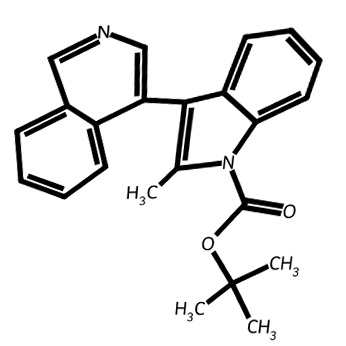 Cc1c(-c2cncc3ccccc23)c2ccccc2n1C(=O)OC(C)(C)C